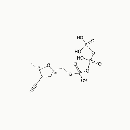 C#CC1C[C@@H](COP(=O)(O)OP(=O)(O)OP(=O)(O)O)O[C@H]1C